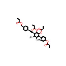 C=CC(=O)OCc1ccc(C#Cc2c(CCC)c(OC)c(-c3ccc(OC(=O)C=C)cc3)c(OC(=O)C=C)c2OC(=O)C=C)cc1